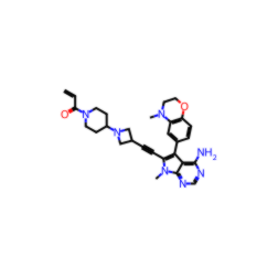 C=CC(=O)N1CCC(N2CC(C#Cc3c(-c4ccc5c(c4)N(C)CCO5)c4c(N)ncnc4n3C)C2)CC1